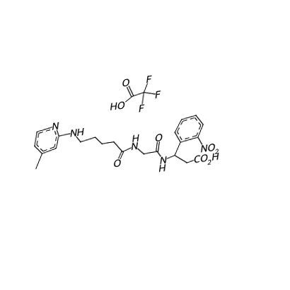 Cc1ccnc(NCCCCC(=O)NCC(=O)NC(CC(=O)O)c2ccccc2[N+](=O)[O-])c1.O=C(O)C(F)(F)F